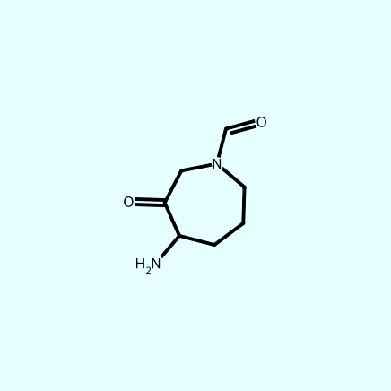 NC1CCCN(C=O)CC1=O